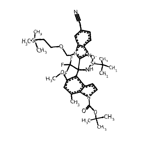 COc1cc(C)c2c(ccn2C(=O)OC(C)(C)C)c1C(N[S+]([O-])C(C)(C)C)(c1nc2ccc(C#N)cc2n1COCC[Si](C)(C)C)C(F)(F)F